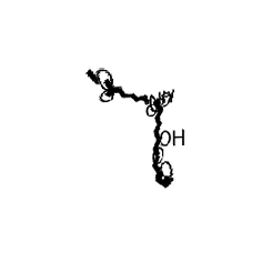 CCOC(=O)CCCCCCNS(=O)(=O)CCCCC(O)COCc1ccco1